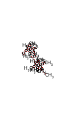 CCCCCCc1ccc(N(c2ccc(C(C)C)cc2)c2c3ccc(C(C)(C)C)cc3c(N(c3ccc(CCC(CCC)C4CCCC(c5ccc(N(c6ccccc6)c6c7ccc(C(C)(C)C)cc7c(N(c7ccccc7)c7ccc(C8CCCCC8)cc7)c7ccc(C(C)(C)C)cc67)cc5)C4)cc3)c3ccc(C(C)C)cc3)c3ccc(C(C)(C)C)cc23)cc1